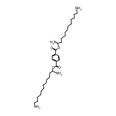 NCCCCCCCCCCCC(N)OC(=O)c1ccc(C(=O)OC(N)CCCCCCCCCCCN)cc1